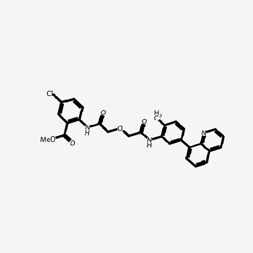 COC(=O)c1cc(Cl)ccc1NC(=O)COCC(=O)Nc1cc(-c2cccc3cccnc23)ccc1C